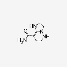 NC(=O)C1=C2NCCN2NC=C1